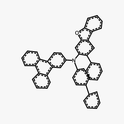 c1ccc(-c2ccc(N(c3ccc4c5ccccc5c5ccccc5c4c3)c3cc4oc5ccccc5c4cc3-c3ccccc3)cc2)cc1